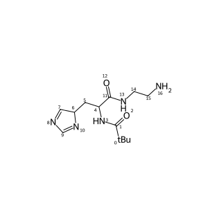 CC(C)(C)C(=O)NC(CC1C=NC=N1)C(=O)NCCN